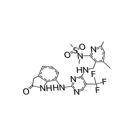 Cc1cc(C)c(CNc2nc(Nc3cccc4c3NC(=O)C4)ncc2C(F)(F)F)c(N(C)S(C)(=O)=O)n1